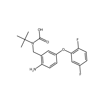 CC(C)(C)N(Cc1cc(Oc2cc(F)ccc2F)ccc1N)C(=O)O